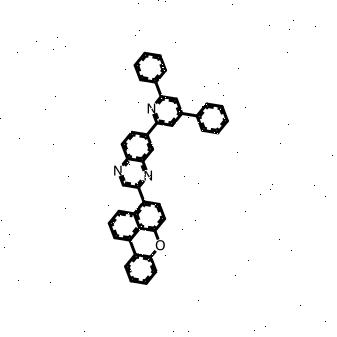 c1ccc(-c2cc(-c3ccccc3)nc(-c3ccc4ncc(-c5ccc6c7c(cccc57)-c5ccccc5O6)nc4c3)c2)cc1